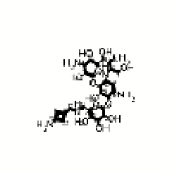 CCC(CO)N[C@@H]1C[C@H](N)C(O[C@H]2O[C@H](CNCC3CC(N)C3)[C@@H](O)[C@H](O)[C@H]2O)[C@H](O)[C@H]1O[C@H]1O[C@H](CO)[C@@H](O)[C@H](N)[C@H]1O